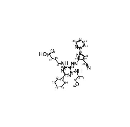 COCC(C)Nc1nc(N2CCCCC2)nc(NCCCC(=O)O)c1N=Nc1nn(-c2ccccn2)cc1C#N